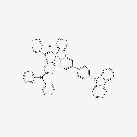 c1ccc(N(c2ccccc2)c2ccc3c(c2)-c2c(sc4ccccc24)C32c3ccccc3-c3cc(-c4ccc(-n5c6ccccc6c6ccccc65)cc4)ccc32)cc1